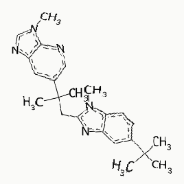 Cn1cnc2cc(C(C)(C)Cc3nc4cc(C(C)(C)C)ccc4n3C)cnc21